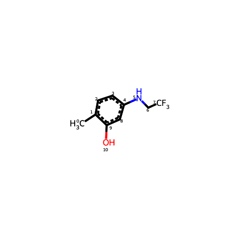 Cc1ccc(NCC(F)(F)F)cc1O